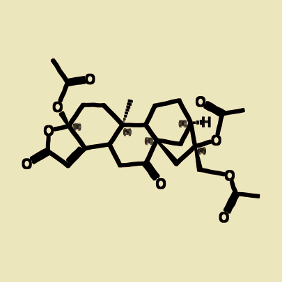 CC(=O)OC[C@@]1(OC(C)=O)C[C@]23C[C@H]1CCC2[C@]1(C)CC[C@@]2(OC(C)=O)OC(=O)C=C2C1CC3=O